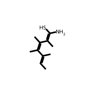 C/C=C(C)/C(C)=C(C)\C(C)=C(\N)S